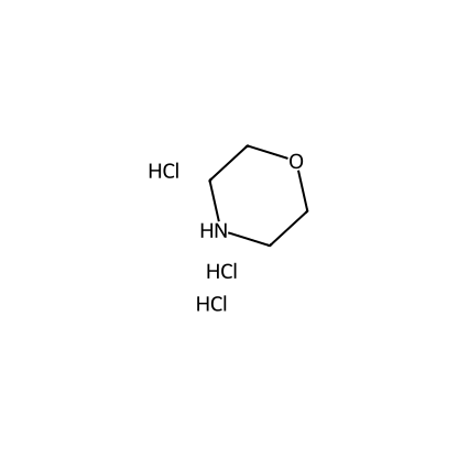 C1COCCN1.Cl.Cl.Cl